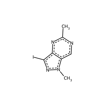 Cc1ncc2c(n1)c(I)nn2C